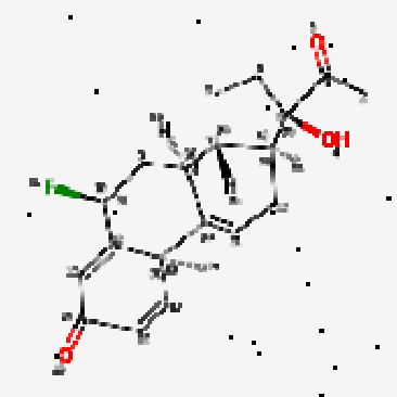 CC(=O)[C@@]1(O)CC[C@H]2[C@@H]3C[C@H](F)C4=CC(=O)C=C[C@]4(C)C3=CC[C@@]21C